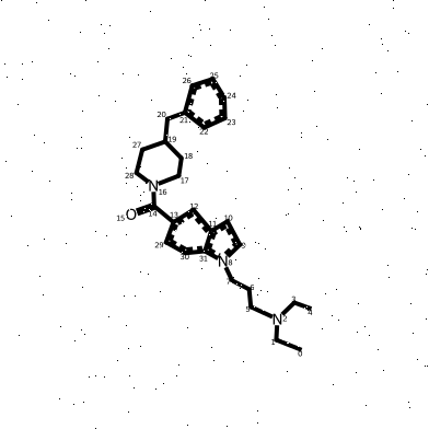 CCN(CC)CCCn1ccc2cc(C(=O)N3CCC(Cc4ccccc4)CC3)ccc21